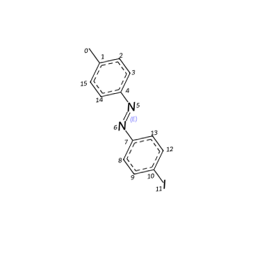 Cc1ccc(/N=N/c2ccc(I)cc2)cc1